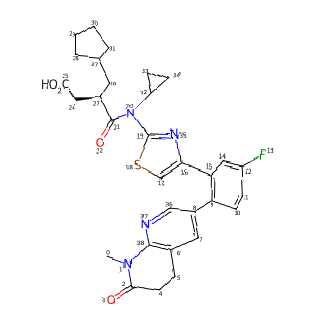 CN1C(=O)CCc2cc(-c3ccc(F)cc3-c3csc(N(C(=O)[C@@H](CC(=O)O)CC4CCCC4)C4CC4)n3)cnc21